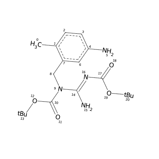 Cc1ccc(N)cc1CN(C(=O)OC(C)(C)C)C(N)=NC(=O)OC(C)(C)C